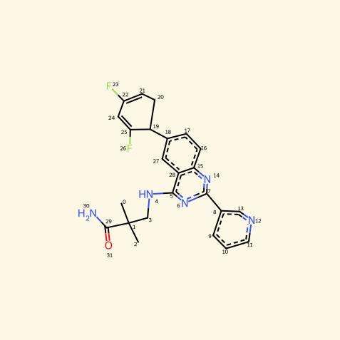 CC(C)(CNc1nc(-c2cccnc2)nc2ccc(C3CC=C(F)C=C3F)cc12)C(N)=O